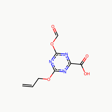 C=CCOc1nc(OC=O)nc(C(=O)O)n1